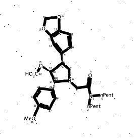 CCCCCN(CCCCC)C(=O)CN1C[C@H](c2ccc3c(c2)OCO3)[C@H](OC(=O)O)[C@H]1c1ccc(OC)cc1